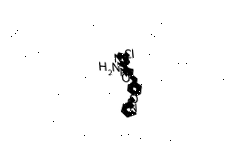 Nc1ncc(Cl)cc1-c1cc(Cc2ccc(OCc3ccccn3)cc2)on1